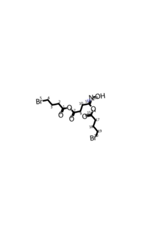 O=C(CCCBr)OC(=O)CC/C(=N/O)OC(=O)CCCBr